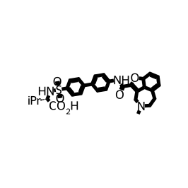 CC(C)[C@H](NS(=O)(=O)c1ccc(-c2ccc(NC(=O)C3=C4CN(C)CCC5=CC=CC(O3)C54)cc2)cc1)C(=O)O